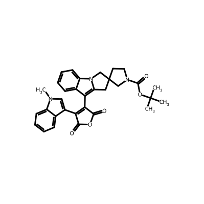 Cn1cc(C2=C(c3c4n(c5ccccc35)CC3(CCN(C(=O)OC(C)(C)C)C3)C4)C(=O)OC2=O)c2ccccc21